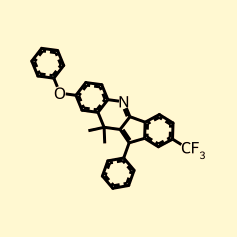 CC1(C)C2=C(c3ccccc3)c3cc(C(F)(F)F)ccc3C2=Nc2ccc(Oc3ccccc3)cc21